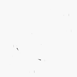 O=C(OC1C[C@@](O)(C(=O)O)CC(O)[C@@H]1O)c1cc(O)c(O)c(O)c1